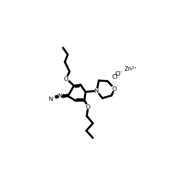 CCCCOC1=CC(N2CCOCC2)C(OCCCC)=CC1=[N+]=[N-].[Cl-].[Cl-].[Zn+2]